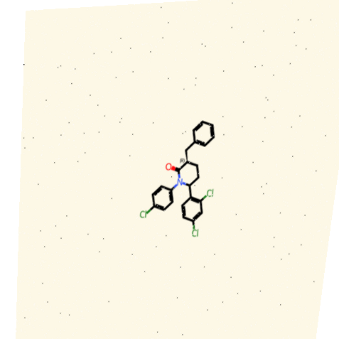 O=C1[C@@H](Cc2ccccc2)CCC(c2ccc(Cl)cc2Cl)N1c1ccc(Cl)cc1